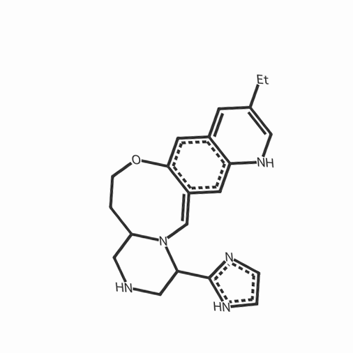 CCC1=CNc2cc3c(cc2=C1)OCCC1CNCC(c2ncc[nH]2)N1C=3